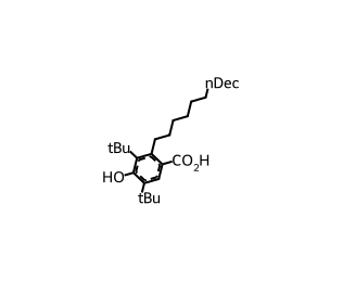 CCCCCCCCCCCCCCCCc1c(C(=O)O)cc(C(C)(C)C)c(O)c1C(C)(C)C